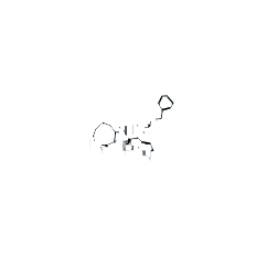 O=C(NC(C(=O)NC1CCCCNC(=O)C1=O)c1ccn[nH]1)OCc1ccccc1